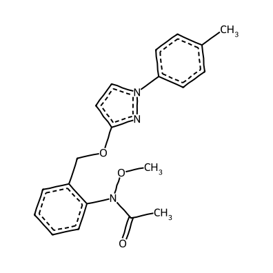 CON(C(C)=O)c1ccccc1COc1ccn(-c2ccc(C)cc2)n1